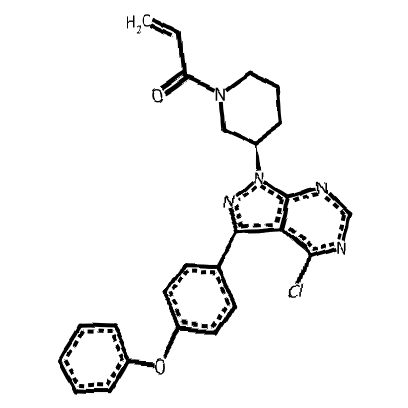 C=CC(=O)N1CCC[C@@H](n2nc(-c3ccc(Oc4ccccc4)cc3)c3c(Cl)ncnc32)C1